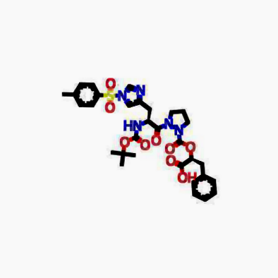 Cc1ccc(S(=O)(=O)n2cnc(C[C@H](NC(=O)OC(C)(C)C)C(=O)N3CCCN3C(=O)O[C@@H](Cc3ccccc3)C(=O)O)c2)cc1